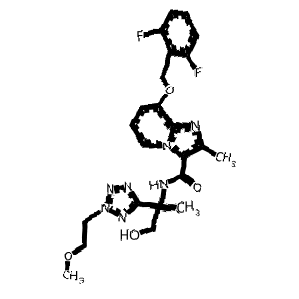 COCCn1nnc(C(C)(CO)NC(=O)c2c(C)nc3c(OCc4c(F)cccc4F)cccn23)n1